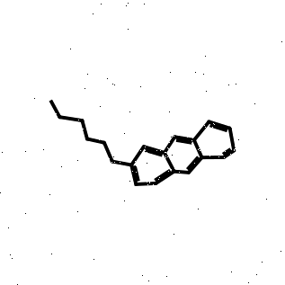 CCCCCCc1ccc2cc3ccccc3[c]c2c1